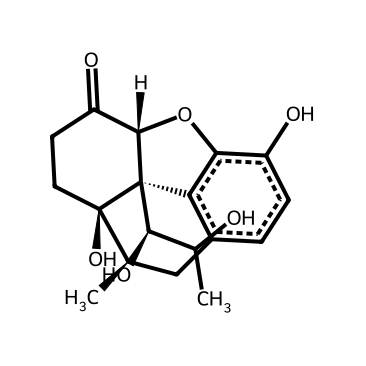 CC(O)[C@@H](O)[C@]12c3c4ccc(O)c3O[C@H]1C(=O)CC[C@@]2(O)[C@H](C)C4